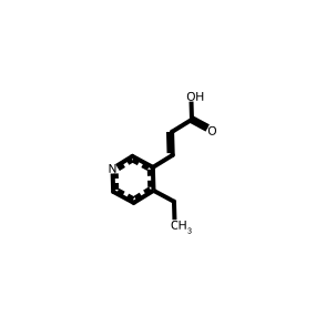 CCc1ccncc1C=CC(=O)O